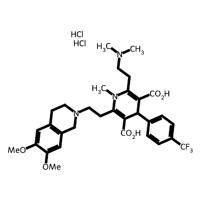 COc1cc2c(cc1OC)CN(CCC1=C(C(=O)O)C(c3ccc(C(F)(F)F)cc3)C(C(=O)O)=C(CCN(C)C)N1C)CC2.Cl.Cl